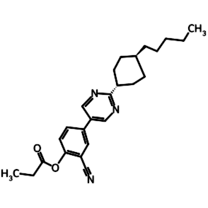 CCCCC[C@H]1CC[C@H](c2ncc(-c3ccc(OC(=O)CC)c(C#N)c3)cn2)CC1